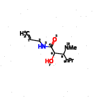 C=CCNC(=O)C(O)C(CCC)NC